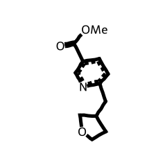 COC(=O)c1ccc(CC2CCOC2)nc1